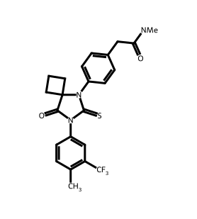 CNC(=O)Cc1ccc(N2C(=S)N(c3ccc(C)c(C(F)(F)F)c3)C(=O)C23CCC3)cc1